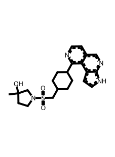 CC1(O)CCN(S(=O)(=O)CC2CCC(c3nccc4cnc5[nH]ccc5c34)CC2)C1